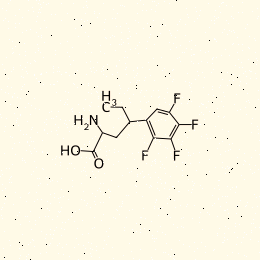 CCC(CC(N)C(=O)O)c1cc(F)c(F)c(F)c1F